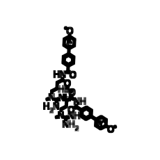 COC12CCC(c3ccc(C(=O)NC(CCCN(C)C(=N)N)OBOC(CCCN(C)C(=N)N)NC(=O)c4ccc(C56CCC(OC)(CC5)CC6)cc4)cc3)(CC1)CC2